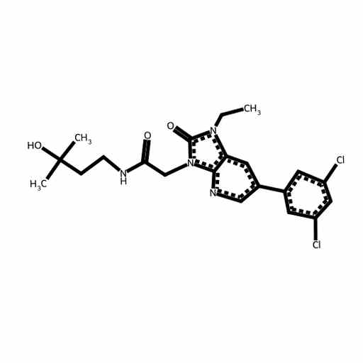 CCn1c(=O)n(CC(=O)NCCC(C)(C)O)c2ncc(-c3cc(Cl)cc(Cl)c3)cc21